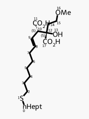 CCCCCCCSCCCCCCC=C[C@H](C(=O)O)[C@@](O)(CCOC)C(=O)O